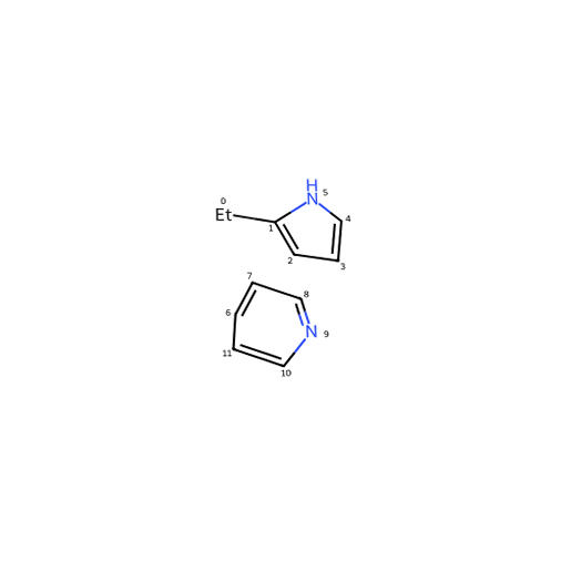 CCc1ccc[nH]1.c1ccncc1